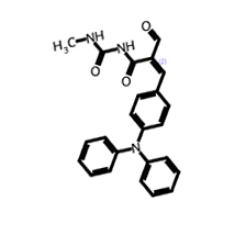 CNC(=O)NC(=O)/C(C=O)=C\c1ccc(N(c2ccccc2)c2ccccc2)cc1